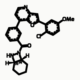 COc1ccc(Cl)c(-c2cc3nccc(-c4cccc(C(=O)N5N[C@H]6CCCC[C@H]65)c4)c3o2)c1